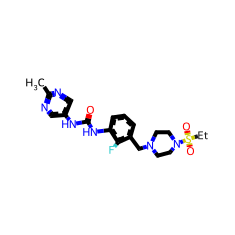 CCS(=O)(=O)N1CCN(Cc2cccc(NC(=O)Nc3cnc(C)nc3)c2F)CC1